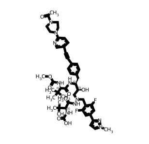 COC(=O)N[C@H](C(=O)N[C@@H](Cc1ccc(C#Cc2ccc(N3CCN(C(C)=O)CC3)nc2)cc1)[C@@H](O)CN(Cc1c(F)cc(-c2ccn(C)n2)cc1F)NC(=O)[C@@H](NC(=O)O)C(C)(C)C)C(C)(C)C